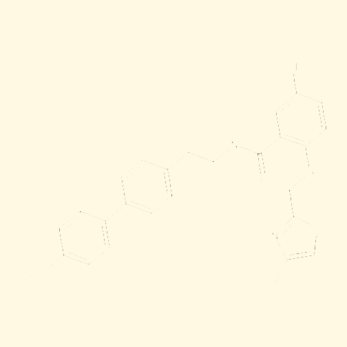 Cc1csc(COc2ccc(Cl)cc2C(=O)NCCc2ccc(-c3ccc(C(=O)O)cc3)cc2)n1